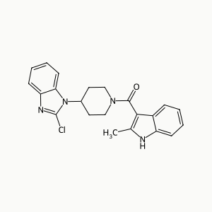 Cc1[nH]c2ccccc2c1C(=O)N1CCC(n2c(Cl)nc3ccccc32)CC1